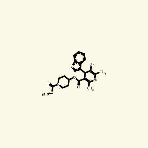 CC(=O)C1=C(C)NC(C)=C(C(=O)OC2CCN(C(=O)OC(C)(C)C)CC2)C1c1csc2ccccc12